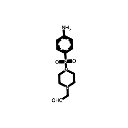 Nc1ccc(S(=O)(=O)N2CCN(CC=O)CC2)cc1